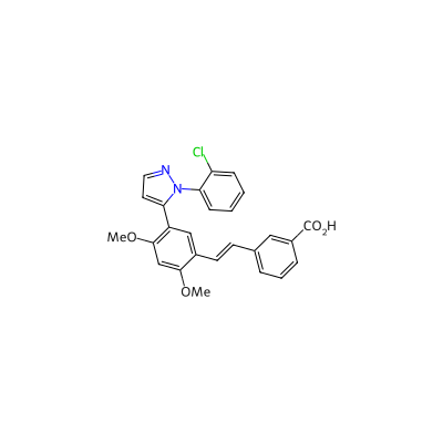 COc1cc(OC)c(-c2ccnn2-c2ccccc2Cl)cc1C=Cc1cccc(C(=O)O)c1